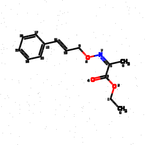 CCOC(=O)C(C)=NOC/C=C/c1ccccc1